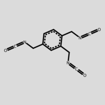 O=C=NCc1ccc(CN=C=O)c(CN=C=O)c1